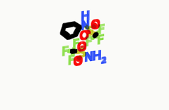 NS(=O)(=O)C(F)(F)F.O=S(=O)(Nc1ccccc1)C(F)(F)F